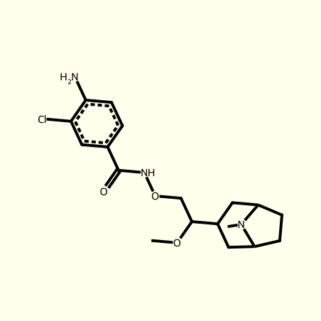 COC(CONC(=O)c1ccc(N)c(Cl)c1)C1CC2CCC(C1)N2C